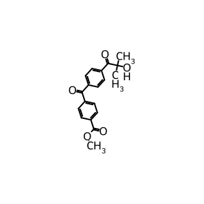 COC(=O)c1ccc(C(=O)c2ccc(C(=O)C(C)(C)O)cc2)cc1